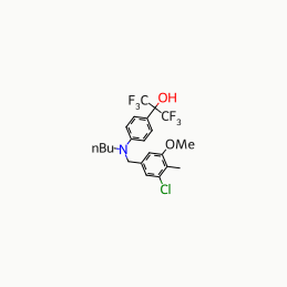 CCCCN(Cc1cc(Cl)c(C)c(OC)c1)c1ccc(C(O)(C(F)(F)F)C(F)(F)F)cc1